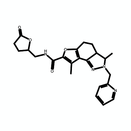 Cc1c(C(=O)NCC2CCC(=O)O2)oc2c1C1=NN(Cc3ccccn3)C(C)C1CC2